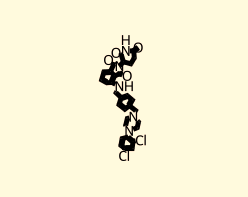 O=C1CCC(N2C(=O)c3cccc(NCc4ccc(CN5CCN(c6ccc(Cl)cc6Cl)CC5)cc4)c3C2=O)C(=O)N1